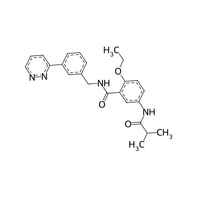 CCOc1ccc(NC(=O)C(C)C)cc1C(=O)NCc1cccc(-c2cccnn2)c1